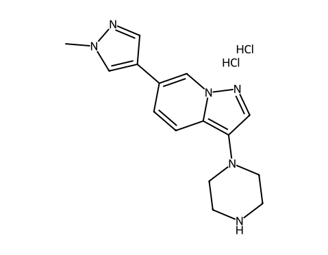 Cl.Cl.Cn1cc(-c2ccc3c(N4CCNCC4)cnn3c2)cn1